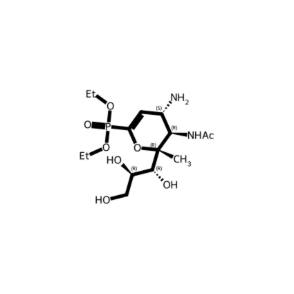 CCOP(=O)(OCC)C1=C[C@H](N)[C@@H](NC(C)=O)[C@](C)([C@H](O)[C@H](O)CO)O1